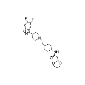 O=C(CC1OCCCO1)N[C@H]1CC[C@H](CCN2CCC(c3noc4cc(F)c(F)cc34)CC2)CC1